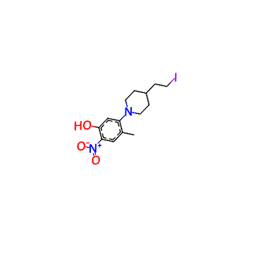 Cc1cc([N+](=O)[O-])c(O)cc1N1CCC(CCI)CC1